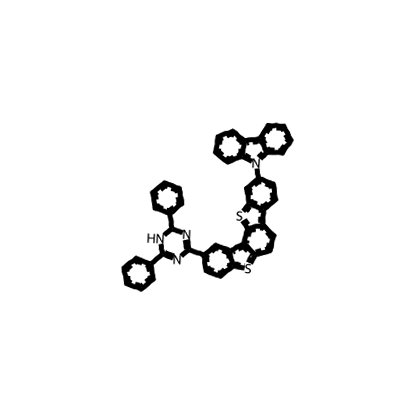 c1ccc(C2=NC(c3ccc4sc5ccc6c7ccc(-n8c9ccccc9c9ccccc98)cc7sc6c5c4c3)=NC(c3ccccc3)N2)cc1